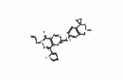 C=CCn1nc(-c2ccco2)c2nc(Nc3ccc4c(c3)CN(C)CC43CC3)ncc2c1=O